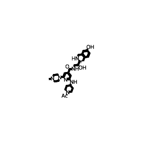 CC(=O)N1CCC(Nc2cc(C(=O)NC[C@@H](O)[C@@H]3Cc4ccc(O)cc4CN3)cc(N3CCN(C)CC3)n2)CC1